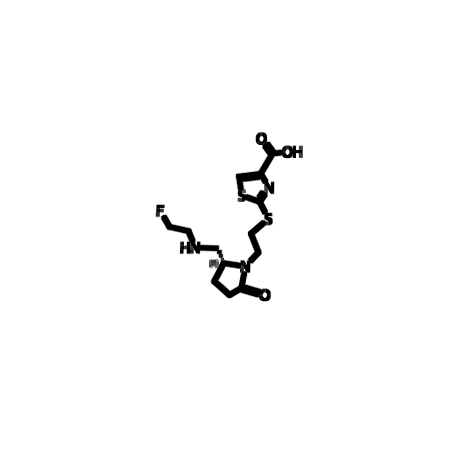 O=C(O)c1csc(SCCN2C(=O)CC[C@@H]2CNCCF)n1